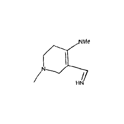 CNC1=C(C=N)CN(C)CC1